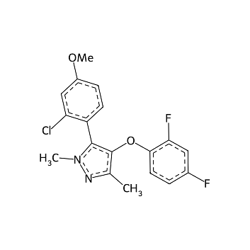 COc1ccc(-c2c(Oc3ccc(F)cc3F)c(C)nn2C)c(Cl)c1